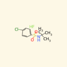 CC(C)(C)NS(=O)(=O)c1ccc(Cl)cc1.F